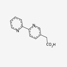 O=C(O)Cc1ccc(-c2ccccn2)nc1